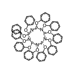 c1ccc(ON2P(Oc3ccccc3)N=P(Oc3ccccc3)(Oc3ccccc3)N(Oc3ccccc3)P(Oc3ccccc3)N(Oc3ccccc3)P(Oc3ccccc3)N(Oc3ccccc3)P2Oc2ccccc2)cc1